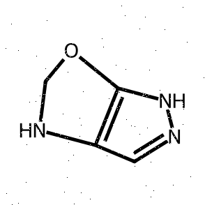 c1n[nH]c2c1NCO2